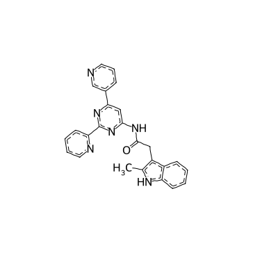 Cc1[nH]c2ccccc2c1CC(=O)Nc1cc(-c2cccnc2)nc(-c2ccccn2)n1